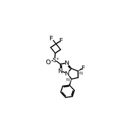 [O-][S+](c1nc2n(n1)[C@H](c1ccccc1)C[C@@H]2F)C1CC(F)(F)C1